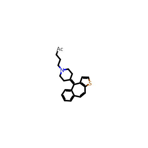 CC(=O)CCCN1CCC(=C2c3ccccc3C=Cc3sccc32)CC1